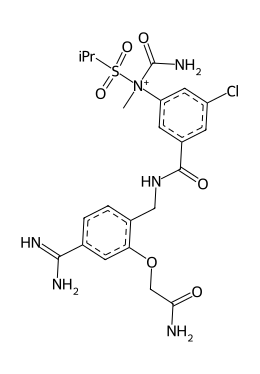 CC(C)S(=O)(=O)[N+](C)(C(N)=O)c1cc(Cl)cc(C(=O)NCc2ccc(C(=N)N)cc2OCC(N)=O)c1